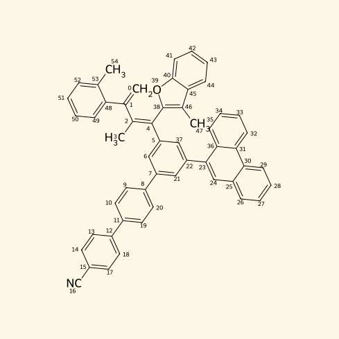 C=C(/C(C)=C(/c1cc(-c2ccc(-c3ccc(C#N)cc3)cc2)cc(-c2cc3ccccc3c3ccccc23)c1)c1oc2ccccc2c1C)c1ccccc1C